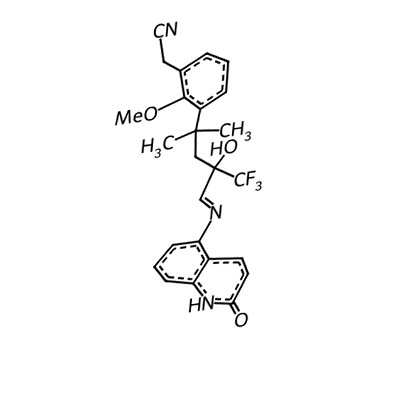 COc1c(CC#N)cccc1C(C)(C)CC(O)(C=Nc1cccc2[nH]c(=O)ccc12)C(F)(F)F